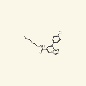 CCCCCCNC(=O)c1cc(-c2ccc(Cl)cc2)c2nccn2c1